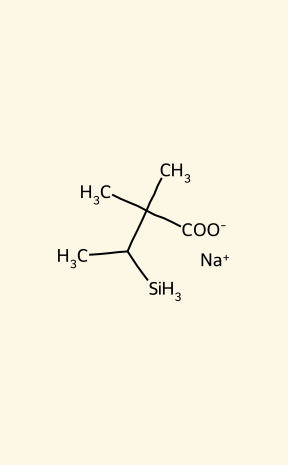 CC([SiH3])C(C)(C)C(=O)[O-].[Na+]